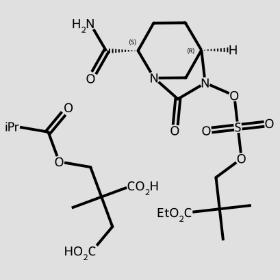 CC(C)C(=O)OCC(C)(CC(=O)O)C(=O)O.CCOC(=O)C(C)(C)COS(=O)(=O)ON1C(=O)N2C[C@H]1CC[C@H]2C(N)=O